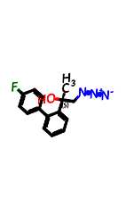 C[C@@](O)(CN=[N+]=[N-])c1ccccc1-c1ccc(F)cc1